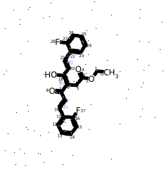 CCOC(=O)C/C(C(=O)/C=C/c1ccccc1F)=C(O)\C=C\c1ccccc1F